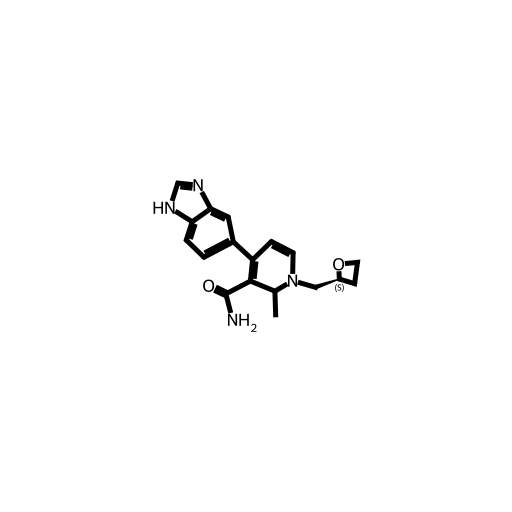 CC1C(C(N)=O)=C(c2ccc3[nH]cnc3c2)C=CN1C[C@@H]1CCO1